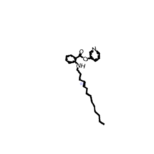 CCCCCCCCC/C=C/CCCNc1ccccc1C(=O)Oc1cccnc1